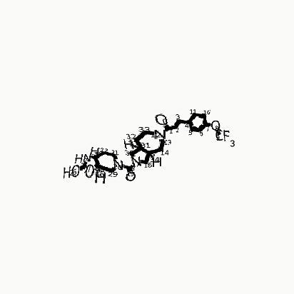 O=C(/C=C/c1ccc(OC(F)(F)F)cc1)N1CC[C@@H]2CN(C(=O)N3CC[C@H]4NC(O)O[C@@H]4C3)C[C@@H]2CC1